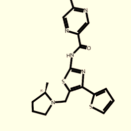 C[C@@H]1CCCN1Cc1sc(NC(=O)c2cnc(Cl)cn2)nc1-c1cccs1